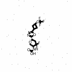 O=C(O)N[C@H]1CO[C@H](c2nnc(C3CC(OC(F)(F)F)C3)o2)CC1(F)F